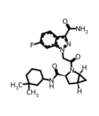 CC1(C)CCCC(NC(=O)[C@@H]2C[C@H]3C[C@H]3N2C(=O)Cn2nc(C(N)=O)c3ccc(F)cc32)C1